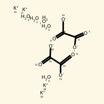 O.O.O.O.O.O=C([O-])C(=O)[O-].O=C([O-])C(=O)[O-].[K+].[K+].[K+].[K+]